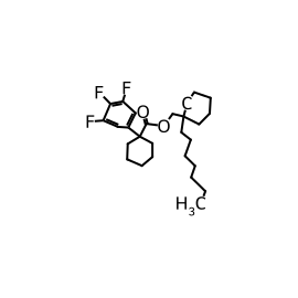 CCCCCCCC1(COC(=O)C2(c3cc(F)c(F)c(F)c3)CCCCC2)CCCCC1